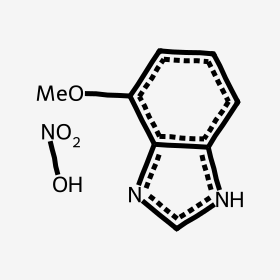 COc1cccc2[nH]cnc12.O=[N+]([O-])O